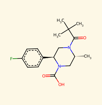 C[C@@H]1CN(C(=O)O)[C@@H](c2ccc(F)cc2)CN1C(=O)C(C)(C)C